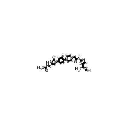 CC(=O)NC[C@H]1CN(c2ccc(N3CCN(CC(=O)Nc4ncc(/C(C)=N/O)s4)CC3)c(F)c2)C(=O)O1